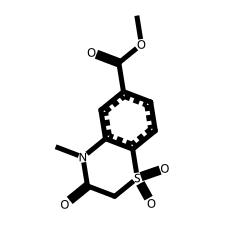 COC(=O)c1ccc2c(c1)N(C)C(=O)CS2(=O)=O